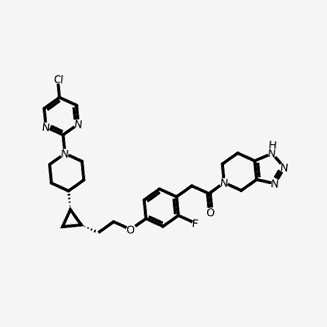 O=C(Cc1ccc(OCC[C@@H]2C[C@@H]2C2CCN(c3ncc(Cl)cn3)CC2)cc1F)N1CCc2[nH]nnc2C1